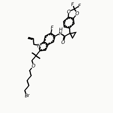 C=CCn1c(C(C)(C)COCCCCCBr)cc2cc(NC(=O)C3(c4ccc5c(c4)OC(F)(F)O5)CC3)c(F)cc21